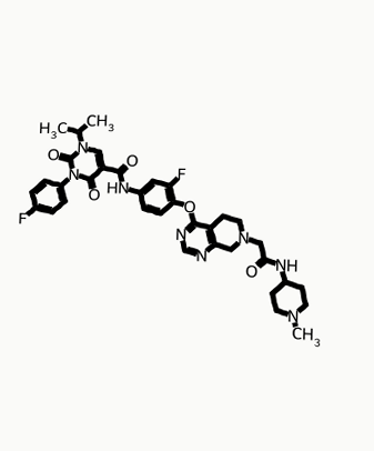 CC(C)n1cc(C(=O)Nc2ccc(Oc3ncnc4c3CCN(CC(=O)NC3CCN(C)CC3)C4)c(F)c2)c(=O)n(-c2ccc(F)cc2)c1=O